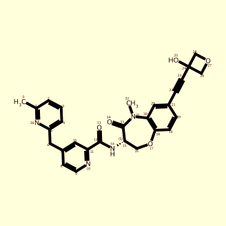 Cc1cccc(Cc2ccnc(C(=O)N[C@H]3COc4ccc(C#CC5(O)COC5)cc4N(C)C3=O)c2)n1